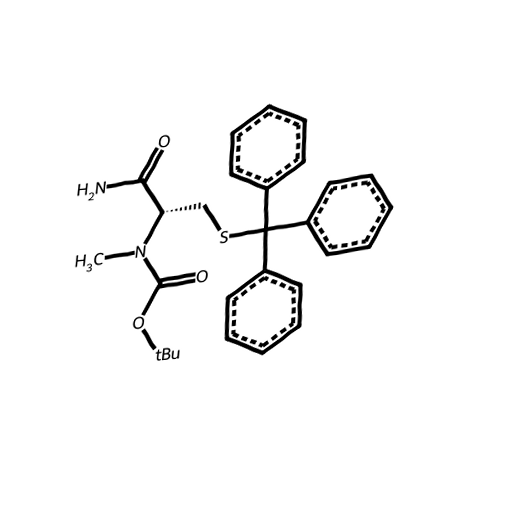 CN(C(=O)OC(C)(C)C)[C@@H](CSC(c1ccccc1)(c1ccccc1)c1ccccc1)C(N)=O